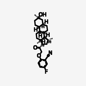 C[C@@H]1C[C@H](C(=O)COc2ccc(F)cc2C#N)[C@@]2(C)CC[C@H]3[C@@H](CC[C@@H]4C[C@](C)(O)CC[C@@H]43)[C@H]12